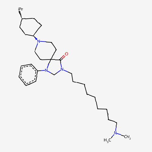 CC(C)[C@H]1CC[C@@H](N2CCC3(CC2)C(=O)N(CCCCCCCCCN(C)C)CN3c2ccccc2)CC1